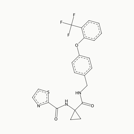 O=C(NC1(C(=O)NCc2ccc(Oc3ccccc3C(F)(F)F)cc2)CC1)c1nccs1